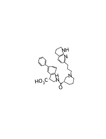 O=C(NC[C@H](C(=O)O)c1cccc(-c2ccccc2)c1)[C@@H]1CCCN(CCCc2ccc3c(n2)NCCC3)C1